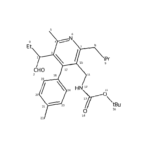 CCC(C=O)c1c(C)nc(CC(C)C)c(CNC(=O)OC(C)(C)C)c1-c1ccc(C)cc1